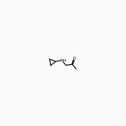 CC(=O)CNC1CC1